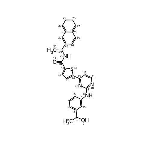 CC(O)c1cccc(Nc2nccc(-c3ccc(C(=O)N[C@H](C)c4ccc5ccccc5c4)s3)n2)c1